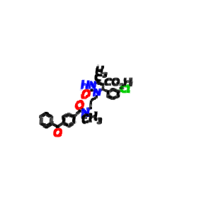 CC1=C(C(=O)O)C(c2cccc(Cl)c2)N(CCCN(C)C(=O)c2ccc(C(=O)c3ccccc3)cc2)C(=O)N1